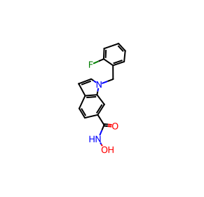 O=C(NO)c1ccc2ccn(Cc3ccccc3F)c2c1